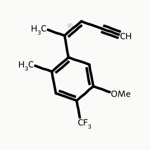 C#C/C=C(/C)c1cc(OC)c(C(F)(F)F)cc1C